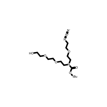 CC(C)(C)OC(=O)N(CCOCCN=[N+]=[N-])CCOCCOCCO